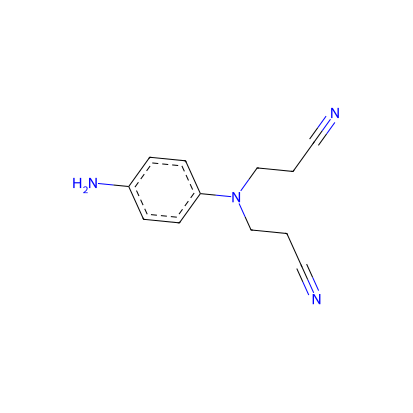 N#CCCN(CCC#N)c1ccc(N)cc1